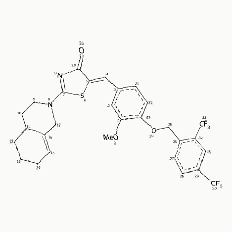 COc1cc(C=C2SC(N3CCC4CCCC=C4C3)=NC2=O)ccc1OCc1ccc(C(F)(F)F)cc1C(F)(F)F